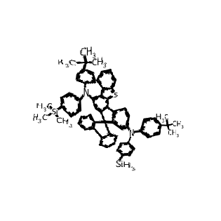 CC(C)(C)c1ccc(N(c2ccc([SiH3])cc2)c2ccc3c(c2)C2(c4ccccc4-c4ccccc42)c2cc(N(c4ccc(C(C)(C)C)cc4)c4ccc([Si](C)(C)C)cc4)c4c(sc5ccccc54)c2-3)cc1